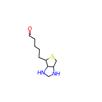 O=CCCCCC1SCC2NCNC21